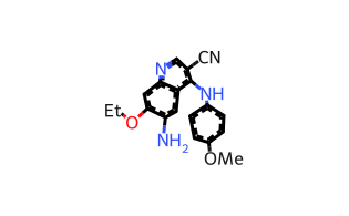 CCOc1cc2ncc(C#N)c(Nc3ccc(OC)cc3)c2cc1N